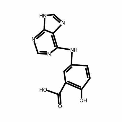 O=C(O)c1cc(Nc2ncnc3[nH]cnc23)ccc1O